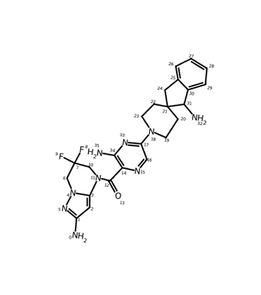 Nc1cc2n(n1)CC(F)(F)CN2C(=O)c1ncc(N2CCC3(CC2)Cc2ccccc2C3N)nc1N